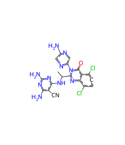 CC(Nc1nc(N)nc(N)c1C#N)c1nc2c(Cl)ccc(Cl)c2c(=O)n1-c1cnc(N)cn1